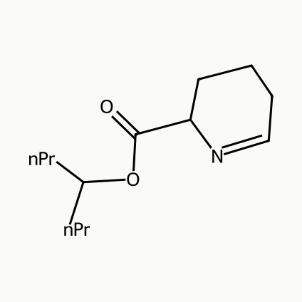 CCCC(CCC)OC(=O)C1CCCC=N1